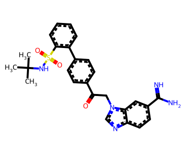 CC(C)(C)NS(=O)(=O)c1ccccc1-c1ccc(C(=O)Cn2cnc3ccc(C(=N)N)cc32)cc1